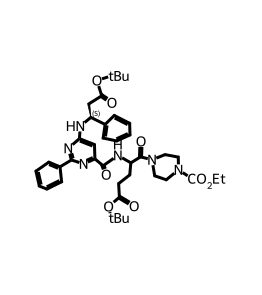 CCOC(=O)N1CCN(C(=O)C(CCC(=O)OC(C)(C)C)NC(=O)c2cc(N[C@@H](CC(=O)OC(C)(C)C)c3ccccc3)nc(-c3ccccc3)n2)CC1